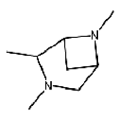 CC1C2CC(CN1C)N2C